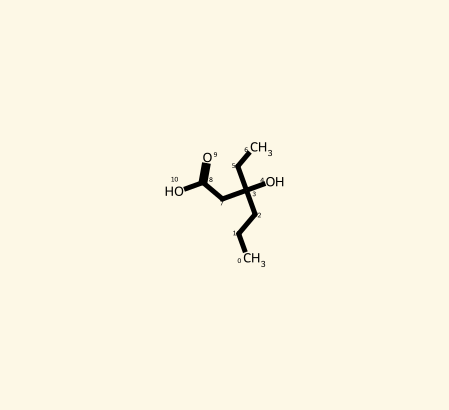 CCCC(O)(CC)CC(=O)O